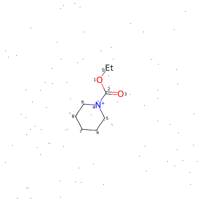 CCOC(=O)[N+]1CCCCC1